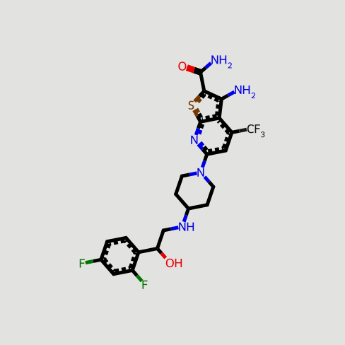 NC(=O)c1sc2nc(N3CCC(NCC(O)c4ccc(F)cc4F)CC3)cc(C(F)(F)F)c2c1N